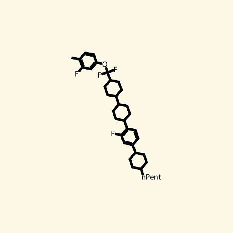 CCCCCC1CCC(c2ccc(C3CCC(C4CCC(C(F)(F)Oc5ccc(C)c(F)c5)CC4)CC3)c(F)c2)CC1